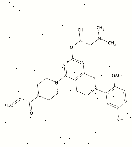 C=CC(=O)N1CCN(c2nc(OC(C)CN(C)C)nc3c2CCN(c2cc(O)ccc2OC)C3)CC1